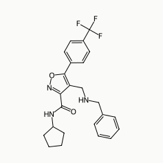 O=C(NC1CCCC1)c1noc(-c2ccc(C(F)(F)F)cc2)c1CNCc1ccccc1